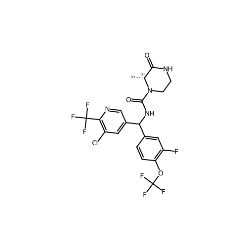 C[C@@H]1C(=O)NCCN1C(=O)NC(c1ccc(OC(F)(F)F)c(F)c1)c1cnc(C(F)(F)F)c(Cl)c1